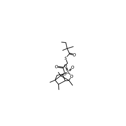 CCC(C)(C)C(=O)SCC(=O)OC1(C)C2(C)CC3C(C2C)C1(C)OS3(=O)=O